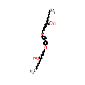 CCCCCCCCC(CO)CCCCCCOc1ccc(-c2ccc(OCCCCCCC(CO)CCCCCCCC)cc2)cc1